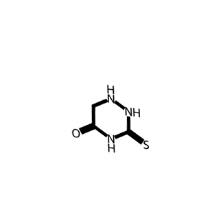 O=C1CNNC(=S)N1